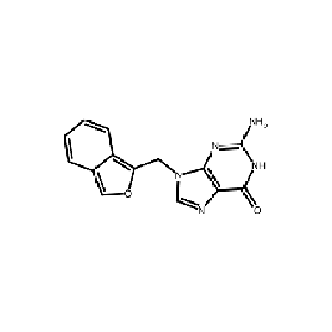 Nc1nc2c(ncn2Cc2occ3ccccc23)c(=O)[nH]1